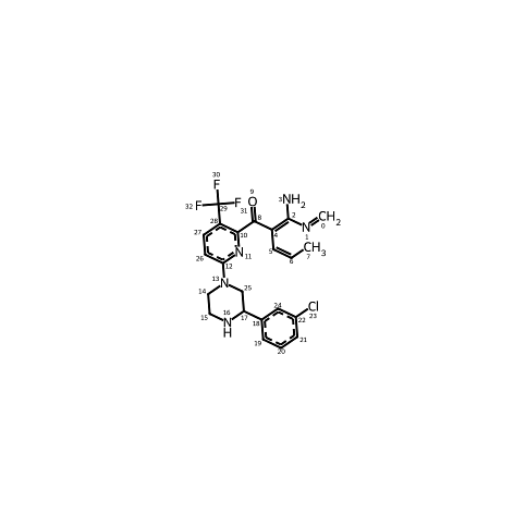 C=N/C(N)=C(\C=C/C)C(=O)c1nc(N2CCNC(c3cccc(Cl)c3)C2)ccc1C(F)(F)F